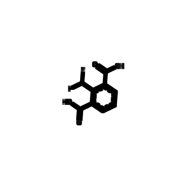 O=C(O)c1cccc(C(=O)O)c1C(F)F